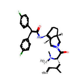 CC(C[C@@H](C(=O)N1C[C@H]2CC[C@H](NC(=O)C(c3ccc(F)cc3)c3ccc(F)cc3)[C@H]2C1)N(C)C(=O)O)CC(C)(C)C